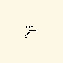 [CH-]=C[CH2-].[Ca+2]